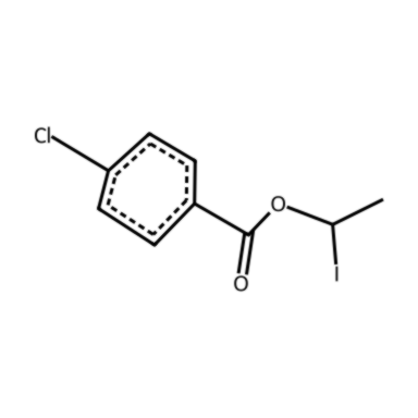 CC(I)OC(=O)c1ccc(Cl)cc1